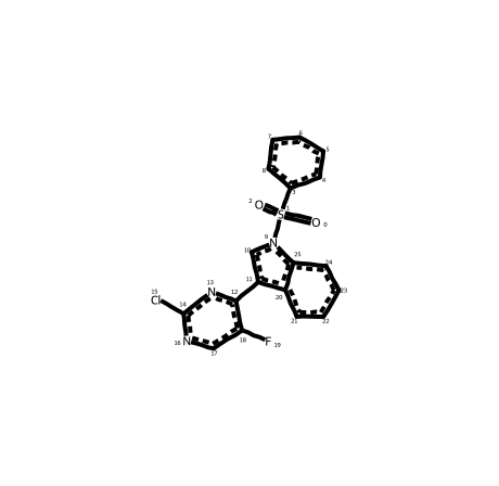 O=S(=O)(c1ccccc1)n1cc(-c2nc(Cl)ncc2F)c2ccccc21